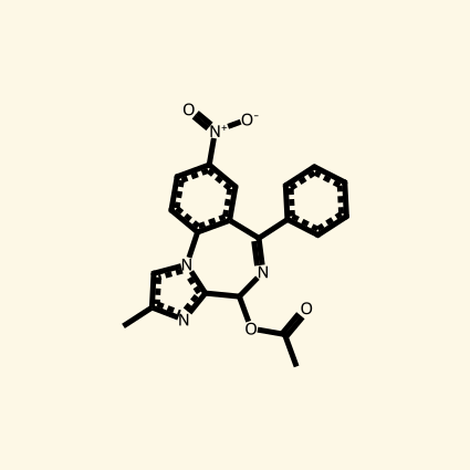 CC(=O)OC1N=C(c2ccccc2)c2cc([N+](=O)[O-])ccc2-n2cc(C)nc21